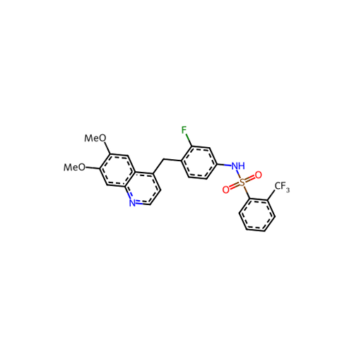 COc1cc2nccc(Cc3ccc(NS(=O)(=O)c4ccccc4C(F)(F)F)cc3F)c2cc1OC